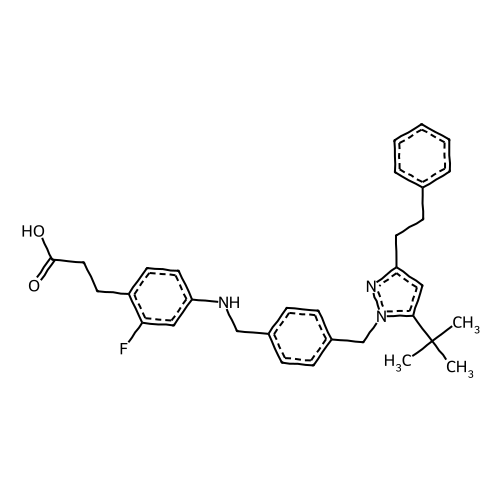 CC(C)(C)c1cc(CCc2ccccc2)nn1Cc1ccc(CNc2ccc(CCC(=O)O)c(F)c2)cc1